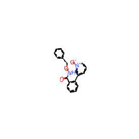 O=C(NOCc1ccccc1)c1ccccc1-c1ccc[n+]([O-])c1